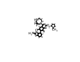 CN1CCC[C@H]1COc1nc(N2CCCNCC(F)(F)C2)c2cc(Cl)c(-c3cccc4sc(N)nc34)c(F)c2n1